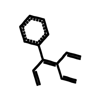 C=CC(C=C)=C(C=C)c1ccccc1